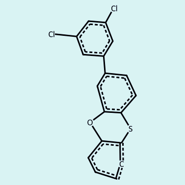 Clc1cc(Cl)cc(-c2ccc3c(c2)Oc2ccccc2S3)c1